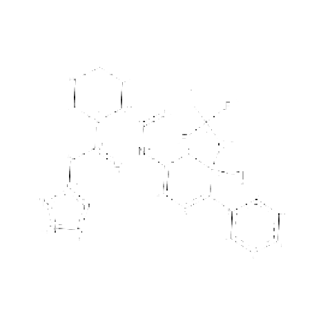 O=C(NC1=CC=C(c2ccccc2)C(Cl)(OC(F)(F)F)C1)[C@H]1CCCCN1C(=O)Cn1cnnn1